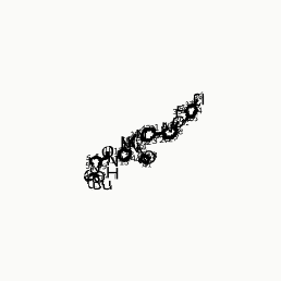 CC(C)(C)OC(=O)N1CCCC(C(=O)Nc2ccc3c(c2)nc(CN2CCC(c4cccc(OCc5ccc(Cl)cc5F)n4)CC2)n3C[C@@H]2CCO2)C1